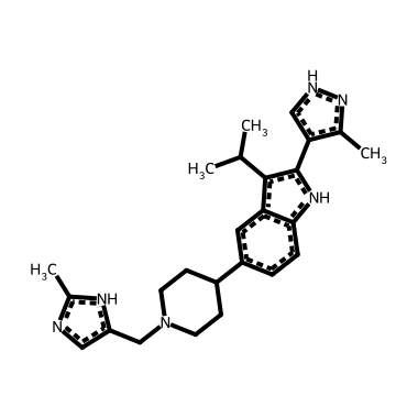 Cc1ncc(CN2CCC(c3ccc4[nH]c(-c5c[nH]nc5C)c(C(C)C)c4c3)CC2)[nH]1